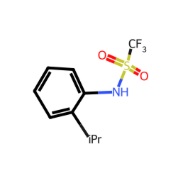 CC(C)c1ccccc1NS(=O)(=O)C(F)(F)F